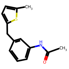 CC(=O)Nc1cccc(Cc2ccc(C)s2)c1